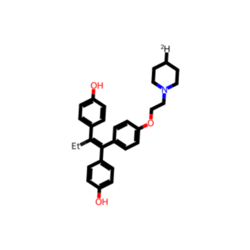 [2H]C1CCN(CCOc2ccc(C(=C(CC)c3ccc(O)cc3)c3ccc(O)cc3)cc2)CC1